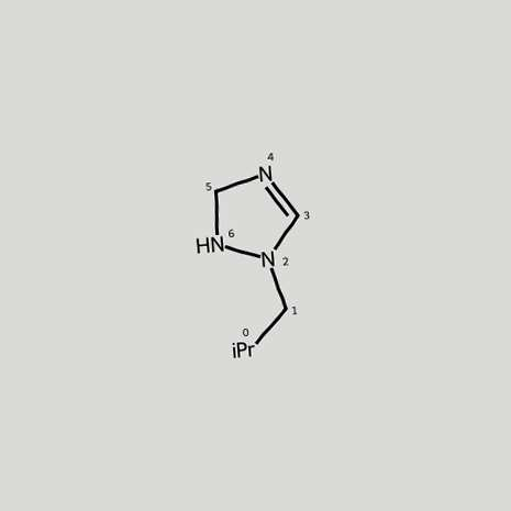 CC(C)CN1C=NCN1